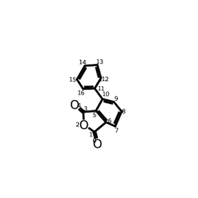 O=C1OC(=O)c2c1cccc2-c1[c]cccc1